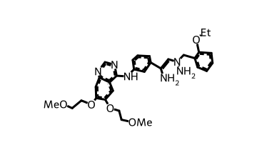 CCOc1ccccc1CN(N)/C=C(\N)c1cccc(Nc2ncnc3cc(OCCOC)c(OCCOC)cc23)c1